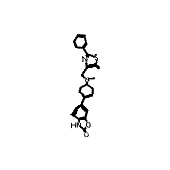 Cc1sc(-c2ccccc2)nc1CN(C)C1CCC(c2ccc3[nH]c(=O)oc3c2)CC1